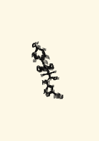 CC(C)(C)c1cc(NC(=O)C(C)(C)S(=O)(=O)c2ccc(Cl)nc2)no1